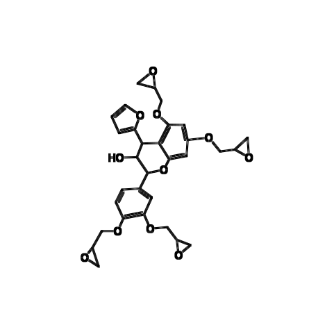 OC1C(c2ccc(OCC3CO3)c(OCC3CO3)c2)Oc2cc(OCC3CO3)cc(OCC3CO3)c2C1c1ccco1